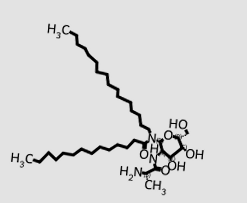 CCCCCCCCCCCCCCCCN(C(=O)CCCCCCCCCCCCC)[C@@H]1O[C@H](CO)[C@@H](O)[C@H](O)[C@H]1NC(=O)[C@H](C)N